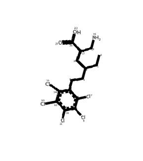 CCC(CCc1c(Cl)c(Cl)c(Cl)c(Cl)c1Cl)CC(CN)C(=O)O